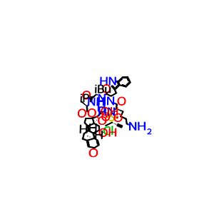 C#C[C@H](CCl)S(=O)(=O)N[C@H](CCCCN)C(=O)NC(Cc1c[nH]c2ccccc12)C(=O)N[C@H](C(=O)N[C@H](CC(C)C)C(=O)O[C@]1(C(=O)CO)CC[C@H]2[C@@H]3CCC4=CC(=O)C=C[C@]4(C)[C@H]3[C@@H](O)C[C@@]21C)[C@H](C)CC